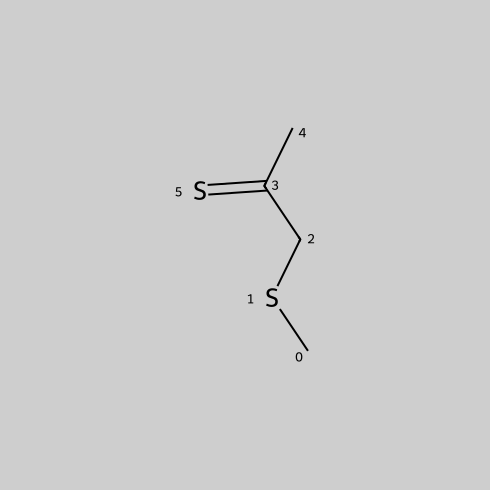 CSCC(C)=S